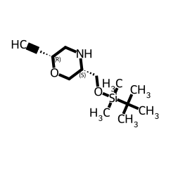 C#C[C@@H]1CN[C@H](CO[Si](C)(C)C(C)(C)C)CO1